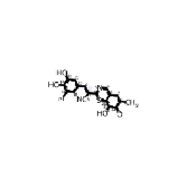 Cc1cc2cnc(/C(C#N)=C/c3cc(O)c(O)c(I)c3)sc-2c(O)c1=O